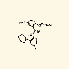 CCC(Pc1ccc(C)cc1N1CCCCC1)c1cc(OC)ccc1OCOC